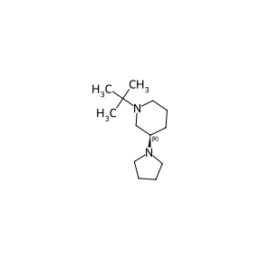 CC(C)(C)N1CCC[C@@H](N2CCCC2)C1